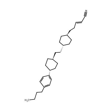 CCCCc1ccc([C@H]2CC[C@H](CC[C@H]3CC[C@H](CC/C=C/C#N)CC3)CC2)cc1